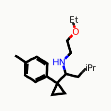 CCOCCNC(CC(C)C)C1(c2ccc(C)cc2)CC1